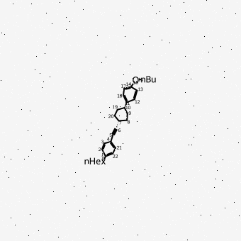 CCCCCCc1ccc(C#C[C@H]2CC[C@H](c3ccc(OCCCC)cc3)CC2)cc1